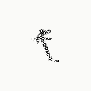 CCCCCC1CCC(C2CCC(C(=O)Oc3ccc(-c4ccc(C(=O)Oc5cc6c7c(c8c(c6cc5OC)OC(c5ccccc5)(c5ccc(N6CCOCC6)cc5)C=C8)C(C)(C)c5c-7cc(C)cc5C(F)(F)F)cc4)cc3)CC2)CC1